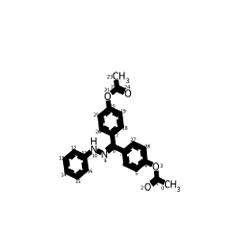 CC(=O)Oc1ccc(C(=NNc2ccccc2)c2ccc(OC(C)=O)cc2)cc1